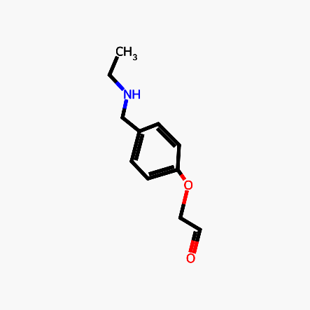 CCNCc1ccc(OCC=O)cc1